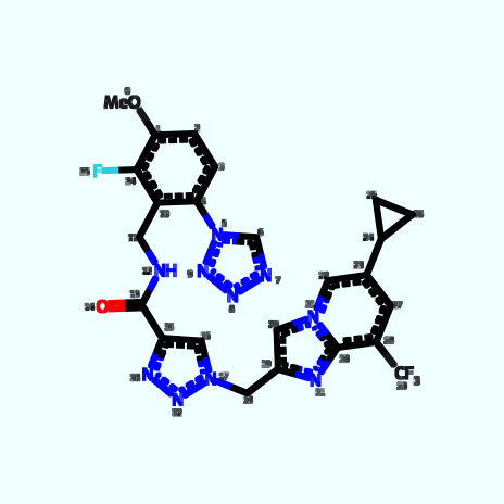 COc1ccc(-n2cnnn2)c(CNC(=O)c2cn(Cc3cn4cc(C5CC5)cc(C(F)(F)F)c4n3)nn2)c1F